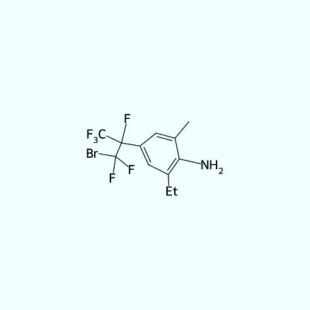 CCc1cc(C(F)(C(F)(F)F)C(F)(F)Br)cc(C)c1N